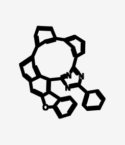 c1ccc(-c2nc3nc(n2)c2c4cc(ccc4cc4oc5ccccc5c42)c2cccc(c2)c2cccc3c2)cc1